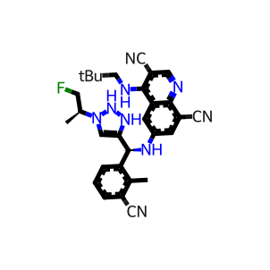 Cc1c(C#N)cccc1[C@H](Nc1cc(C#N)c2ncc(C#N)c(NCC(C)(C)C)c2c1)C1=CN([C@@H](C)CF)NN1